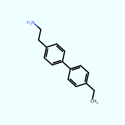 CCc1ccc(-c2ccc(CCN)cc2)cc1